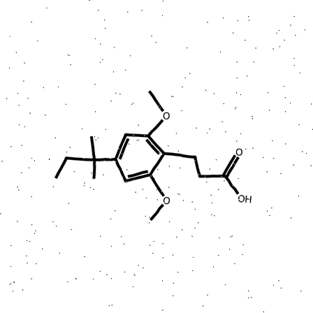 CCC(C)(C)c1cc(OC)c(CCC(=O)O)c(OC)c1